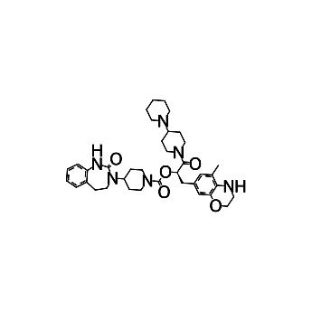 Cc1cc(C[C@@H](OC(=O)N2CCC(N3CCc4ccccc4NC3=O)CC2)C(=O)N2CCC(N3CCCCC3)CC2)cc2c1NCCO2